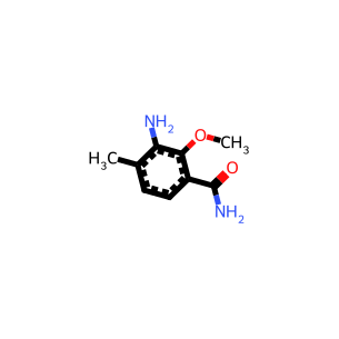 COc1c(C(N)=O)ccc(C)c1N